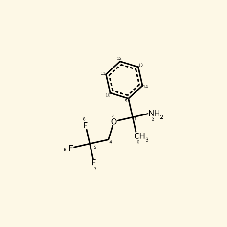 CC(N)(OCC(F)(F)F)c1ccccc1